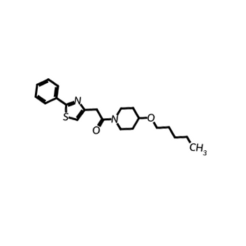 CCCCCOC1CCN(C(=O)Cc2csc(-c3ccccc3)n2)CC1